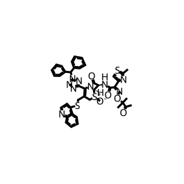 CC(=O)C(C)(C)O/N=C(\C(=O)N[C@@H]1C(=O)N2C(c3nnn(C(c4ccccc4)c4ccccc4)n3)=C(CSc3ccnc4ccccc34)C[S+]([O-])[C@H]12)c1csc(C)n1